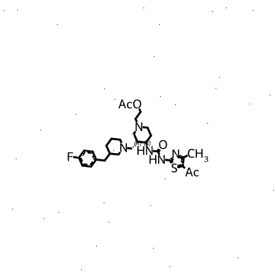 CC(=O)OCCN1CC[C@@H](NC(=O)Nc2nc(C)c(C(C)=O)s2)[C@H](CN2CCCC(Cc3ccc(F)cc3)C2)C1